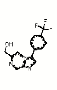 OCc1cn2c(-c3ccc(C(F)(F)F)cc3)cnc2cn1